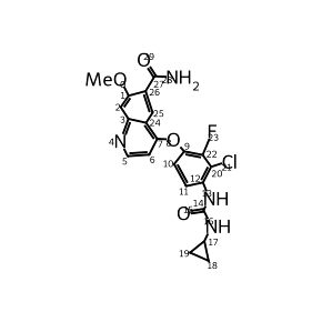 COc1cc2nccc(Oc3ccc(NC(=O)NC4CC4)c(Cl)c3F)c2cc1C(N)=O